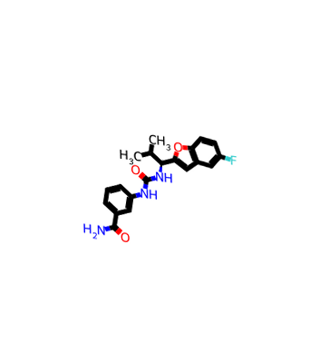 CC(C)[C@H](NC(=O)Nc1cccc(C(N)=O)c1)c1cc2cc(F)ccc2o1